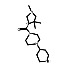 CN1C[C@H](C(=O)N2CCN(C3CCNCC3)CC2)C(C)(C)C1